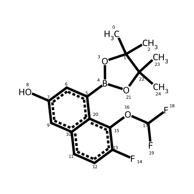 CC1(C)OB(c2cc(O)cc3ccc(F)c(OC(F)F)c23)OC1(C)C